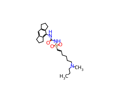 CCCN(C)CCCC/C=C/S(=O)(=O)NC(=O)Nc1c2c(cc3c1CCC3)CCC2